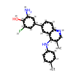 CCc1ccc(Nc2c(C(C)=O)cnc3ccc(-c4cc(N)c(O)c(F)c4)cc23)cc1